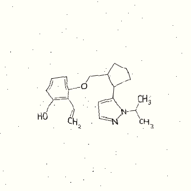 C=Cc1c(O)cccc1OCC1CCCC1c1ccnn1C(C)C